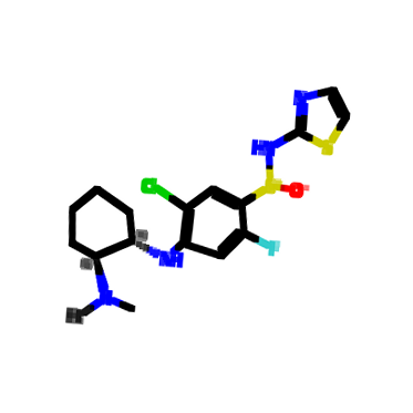 CCN(C)[C@H]1CCCC[C@@H]1Nc1cc(F)c([S+]([O-])Nc2nccs2)cc1Cl